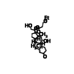 CCOCCC(=O)O[C@]1(C(=O)CO)CC[C@H]2[C@@H]3CCC4=CC(=O)CC[C@]4(C)[C@H]3C(O)C[C@@]21C